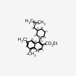 CCOC(=O)c1cnc2c(C)cc(C)cc2c1N1CCCC(CN(C)C)C1